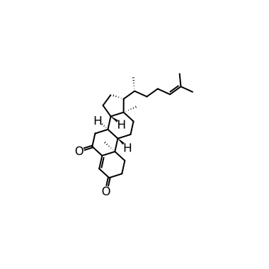 CC(C)=CCC[C@@H](C)[C@H]1CC[C@H]2[C@@H]3CC(=O)C4=CC(=O)CC[C@]4(C)[C@H]3CC[C@]12C